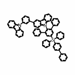 c1ccc(-c2ccc([Si](c3ccccc3)(c3ccccc3)c3cc(-c4ccccc4)c(-n4c5ccccc5c5cc(-c6cccc(-n7c8ccccc8c8ccccc87)c6)ccc54)c(-c4ccccc4)c3)cc2)cc1